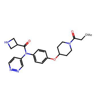 COCC(=O)N1CCC(Oc2ccc(N(C(=O)C3CNC3)c3ccnnc3)cc2)CC1